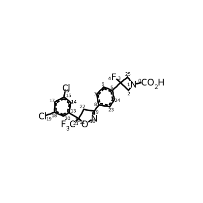 O=C(O)N1CC(F)(c2ccc(C3=NOC(c4cc(Cl)cc(Cl)c4)(C(F)(F)F)C3)cc2)C1